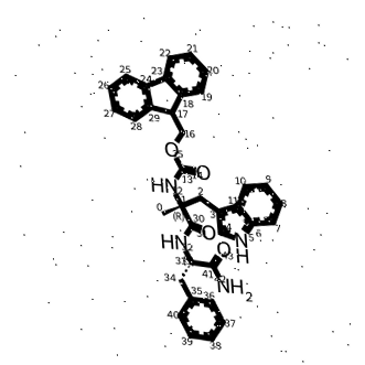 C[C@](Cc1c[nH]c2ccccc12)(NC(=O)OCC1c2ccccc2-c2ccccc21)C(=O)N[C@@H](Cc1ccccc1)C(N)=O